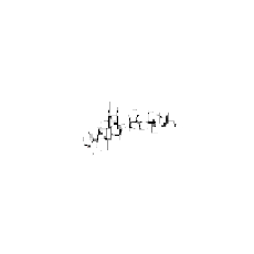 CCC(C)(C)c1ccc(OCCCC(=O)Nc2cccc(NC(=O)C(Cl)C(=O)C34CC5CC(CC(C5)C3)C4)c2)c(C(C)(C)CC)c1